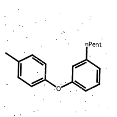 CCCCCc1cccc(Oc2ccc(C)cc2)c1